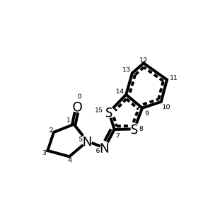 O=C1CCCN1N=c1sc2ccccc2s1